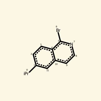 CC(C)c1ccc2c(Br)nccc2c1